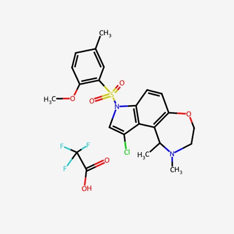 COc1ccc(C)cc1S(=O)(=O)n1cc(Cl)c2c3c(ccc21)OCCN(C)C3C.O=C(O)C(F)(F)F